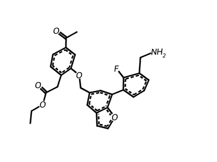 CCOC(=O)Cc1ccc(C(C)=O)cc1OCc1cc(-c2cccc(CN)c2F)c2occc2c1